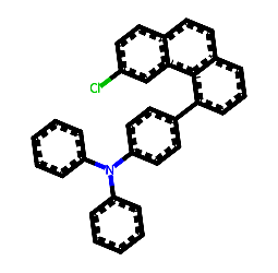 Clc1ccc2ccc3cccc(-c4ccc(N(c5ccccc5)c5ccccc5)cc4)c3c2c1